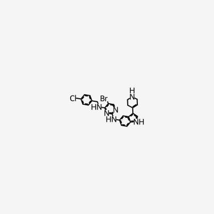 Clc1ccc(CNc2nc(Nc3ccc4[nH]cc(C5=CCNCC5)c4c3)ncc2Br)cc1